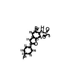 CS(=O)(=O)Nc1cc2oc(-c3ccc(F)cc3)cc2cc1Br